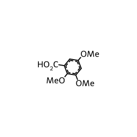 COc1cc(OC)c(OC)c(C(=O)O)c1